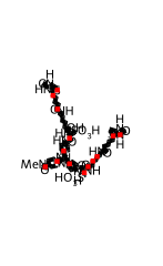 CNC(=O)C1CCN(c2nc(N3CCC(NC(=O)C(CS(=O)(=O)O)NC(=O)CCCCCNC(=O)CCCCC4SCC5NC(=O)NC54)CC3)nc(N3CCC(NC(=O)C(CS(=O)(=O)O)NC(O)CCCCCNC(=O)CCCCC4SCC5NC(=O)NC54)CC3)n2)CC1